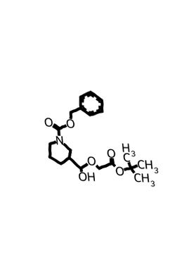 CC(C)(C)OC(=O)COC(O)C1CCCN(C(=O)OCc2ccccc2)C1